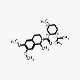 COc1cc2c(cc1OC)C(C)N(C(=O)[C@@H]1C[C@H](C)CC[C@@H]1C(C)C)CC2